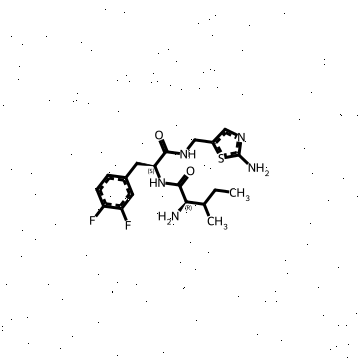 CCC(C)[C@@H](N)C(=O)N[C@@H](Cc1ccc(F)c(F)c1)C(=O)NCc1cnc(N)s1